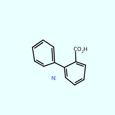 O=C(O)c1ccccc1-c1ccccc1.[N]